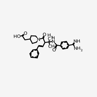 CC(C)(NC(=O)c1ccc(C(=N)N)cc1)C(C=Cc1ccccc1)C(=O)N1CCC(CC(=O)O)CC1